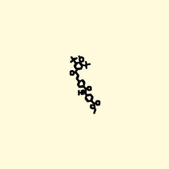 CCOC(=O)c1ccc(NC(=O)c2ccc(C=CC(=O)c3cc(C(C)(C)C)c(OC)c(C(C)(C)C)c3)cc2)cc1